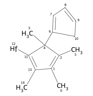 CC1=C(C)C(C)(C2=CC=CC2)[C]([Hf])=C1C